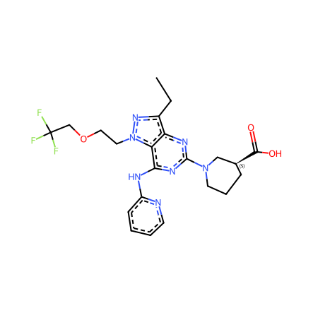 CCc1nn(CCOCC(F)(F)F)c2c(Nc3ccccn3)nc(N3CCC[C@H](C(=O)O)C3)nc12